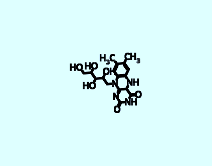 Cc1cc2c(cc1C)N(CC(O)C(O)C(O)CO)C1=NC(=O)NC(=O)C1N2